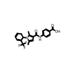 Cc1cc(C(=O)Nc2ccc(C(=O)O)cc2)c(C)n1C1CC=CC=C1C(F)(F)F